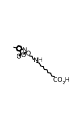 Cc1ccc2nc(OCCCNCCCCCCCCCCC(=O)O)oc(=O)c2c1